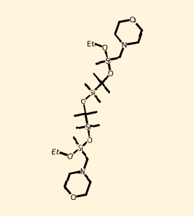 CCO[Si](C)(CN1CCOCC1)OC(C)(C)[Si](C)(C)OC(C)(C)[Si](C)(C)O[Si](C)(CN1CCOCC1)OCC